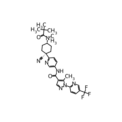 Cc1c(C(=O)Nc2ccc([C@]3(C#N)CC[C@H](N(C)C(=O)C(C)(C)C)CC3)nc2)cnn1-c1ccc(C(F)(F)F)cn1